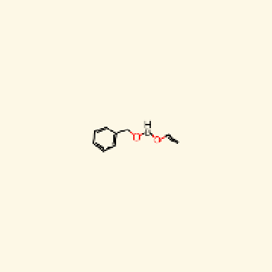 C=COBOCc1ccccc1